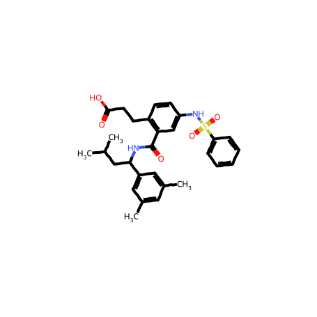 Cc1cc(C)cc(C(CC(C)C)NC(=O)c2cc(NS(=O)(=O)c3ccccc3)ccc2CCC(=O)O)c1